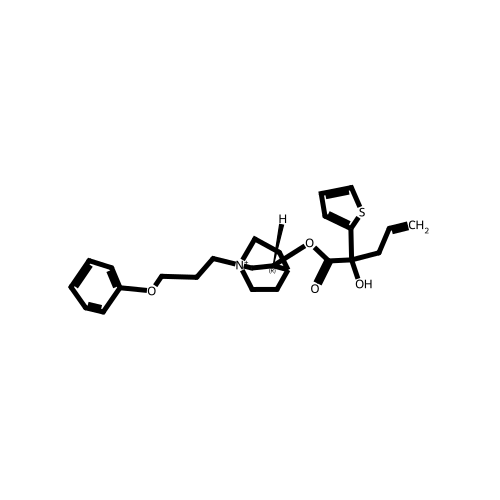 C=CCC(O)(C(=O)O[C@H]1C[N+]2(CCCOc3ccccc3)CCC1CC2)c1cccs1